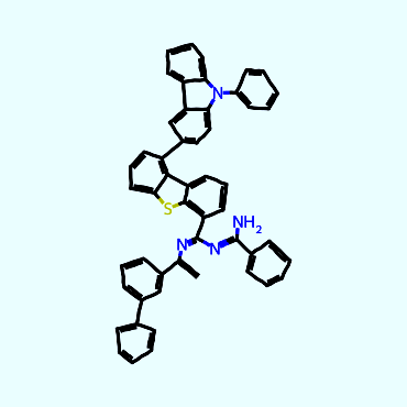 C=C(/N=C(\N=C(/N)c1ccccc1)c1cccc2c1sc1cccc(-c3ccc4c(c3)c3ccccc3n4-c3ccccc3)c12)c1cccc(-c2ccccc2)c1